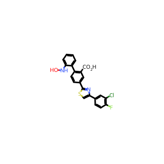 O=C(O)c1cc(-c2nc(-c3ccc(F)c(Cl)c3)cs2)ccc1-c1ccccc1NO